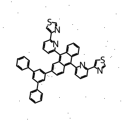 c1ccc(-c2cc(-c3ccccc3)cc(-c3ccc4c(-c5cccc(-c6cscn6)n5)c5ccccc5c(-c5cccc(-c6cscn6)n5)c4c3)c2)cc1